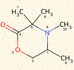 CC1COC(=O)C(C)(C)N1C